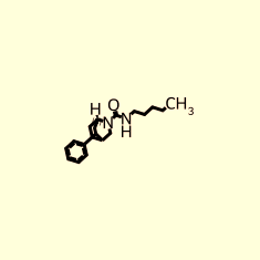 CCCCCNC(=O)N1CC2CC[C@H]1CC2c1ccccc1